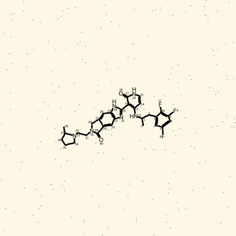 CC(Cc1cc(F)cc(F)c1F)Nc1cc[nH]c(=O)c1-c1nc2cc3c(cc2[nH]1)CN(CCN1CCCC1C)C3=O